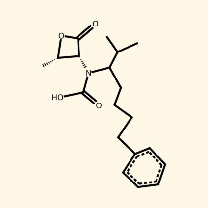 CC(C)C(CCCCc1ccccc1)N(C(=O)O)[C@H]1C(=O)O[C@H]1C